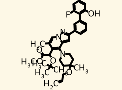 C=CCOC1(C)CCN(c2c(C(OC(C)(C)C)C(=O)OC)c(C)cn3nc(-c4cccc(-c5c(O)cccc5F)c4)cc23)CC1